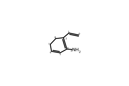 C=CC1=C(N)C=CCC1